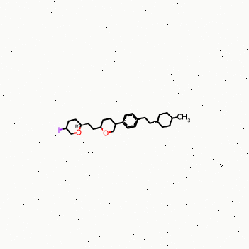 CC1CCC(CCc2ccc(C3CCC(CC[C@@H]4CCC(I)CO4)OC3)cc2)CC1